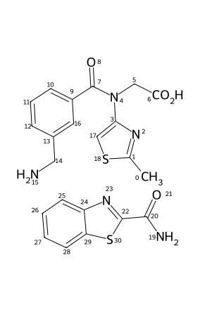 Cc1nc(N(CC(=O)O)C(=O)c2cccc(CN)c2)cs1.NC(=O)c1nc2ccccc2s1